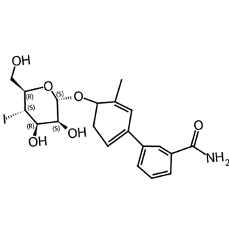 CC1=CC(c2cccc(C(N)=O)c2)=CCC1O[C@H]1O[C@H](CO)[C@@H](I)[C@H](O)[C@@H]1O